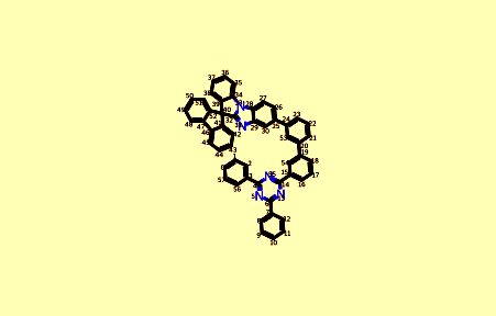 c1ccc(-c2nc(-c3ccccc3)nc(-c3cccc(-c4cccc(-c5ccc6c(c5)nc5n6-c6ccccc6C56c5ccccc5-c5ccccc56)c4)c3)n2)cc1